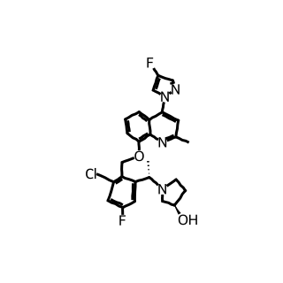 Cc1cc(-n2cc(F)cn2)c2cccc(OCc3c(Cl)cc(F)cc3[C@H](C)N3CC[C@@H](O)C3)c2n1